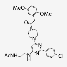 COc1ccc(OC)c(CC(=O)N2CCN(c3cc(NCCNC(C)=O)nc(-c4ccc(Cl)cc4)n3)CC2)c1